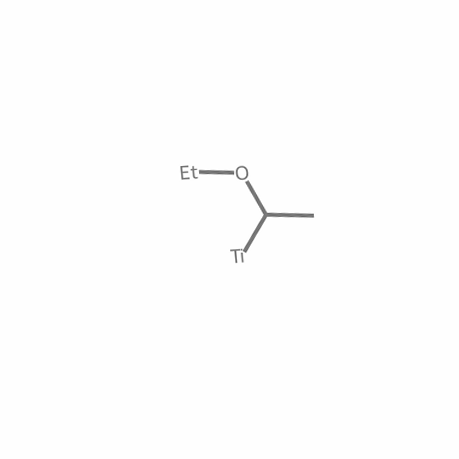 CCO[CH](C)[Ti]